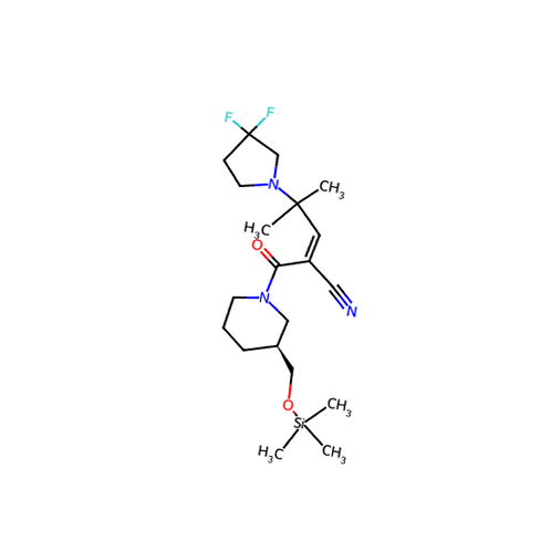 CC(C)(/C=C(/C#N)C(=O)N1CCC[C@H](CO[Si](C)(C)C)C1)N1CCC(F)(F)C1